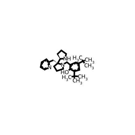 CC(C)(C)c1cc(CN2CCC[C@@]2(Cc2ccccn2)[C@H]2CCCN2)c(O)c(C(C)(C)C)c1